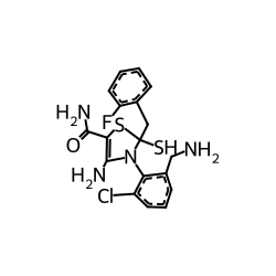 NCc1cccc(Cl)c1N1C(N)=C(C(N)=O)SC1(S)Cc1ccccc1F